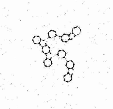 C1=Cc2c(sc3ccc(-c4cccc(-n5c6ccccc6c6cc7c8ccccc8n(-c8cccc(-c9ccc%10sc%11ccccc%11c%10c9)n8)c7cc65)n4)cc23)CC1